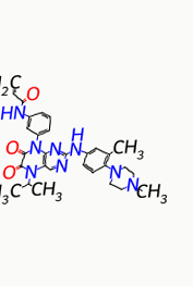 C=CC(=O)Nc1cccc(-n2c(=O)c(=O)n(C(C)C)c3cnc(Nc4ccc(N5CCN(C)CC5)c(C)c4)nc32)c1